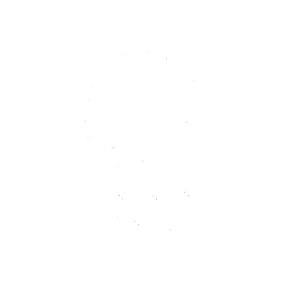 NON1C(Cl)=NC(Cl)=NC1=C1CCCCCCCCCCCCCCCCC1